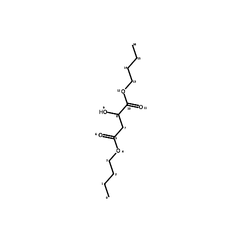 CCCCOC(=O)CC(O)C(=O)OCCCC